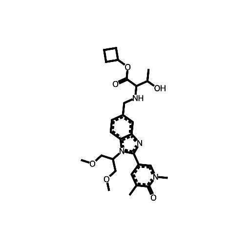 COCC(COC)n1c(-c2cc(C)c(=O)n(C)c2)nc2cc(CNC(C(=O)OC3CCC3)C(C)O)ccc21